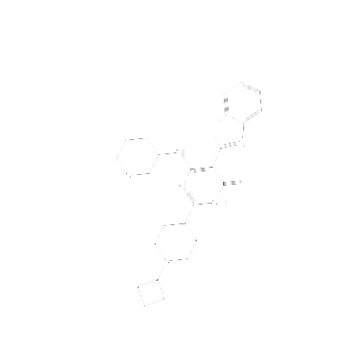 O=c1[nH]c(C2CCN(C3CCC3)CC2)nc(NC2CCCNC2)c1-c1nc2ccccc2s1